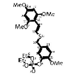 CCOP(=O)(OCC)Oc1cc(CSC=Cc2c(OC)cc(OC)cc2OC)ccc1OC